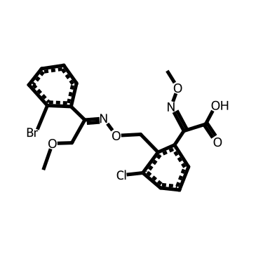 COC/C(=N\OCc1c(Cl)cccc1C(=NOC)C(=O)O)c1ccccc1Br